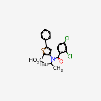 CCC(C)C(C)N(C(=O)c1ccc(Cl)cc1Cl)c1cc(-c2ccccc2)sc1C(=O)O